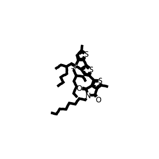 CCCCCCCCN1C(=O)c2c(C)sc(-c3cc4c(s3)-c3sc(C)cc3[Si]4(CC(CC)CCCC)CC(CC)CCCC)c2C1=O